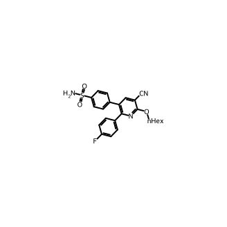 CCCCCCOc1nc(-c2ccc(F)cc2)c(-c2ccc(S(N)(=O)=O)cc2)cc1C#N